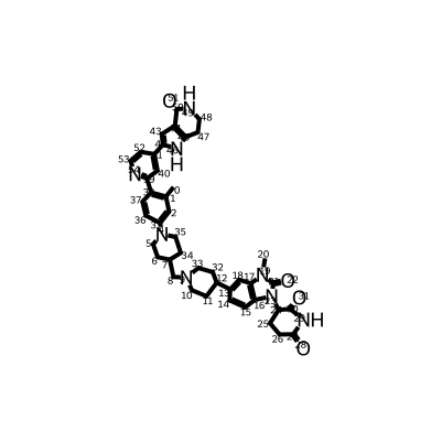 Cc1cc(N2CCC(CN3CCC(c4ccc5c(c4)n(C)c(=O)n5C4CCC(=O)NC4=O)CC3)CC2)ccc1-c1cc(-c2cc3c([nH]2)CCNC3=O)ccn1